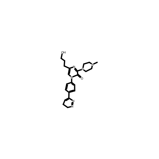 CN1CCN(c2nc(CCCO)cn(-c3ccc(C4=CCCN=N4)cc3)c2=O)CC1